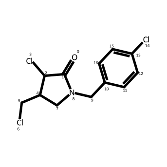 O=C1C(Cl)C(CCl)CN1Cc1ccc(Cl)cc1